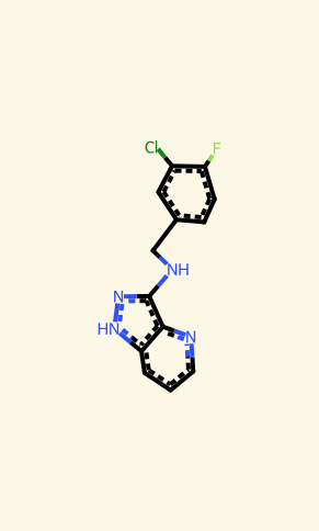 Fc1ccc(CNc2n[nH]c3cccnc23)cc1Cl